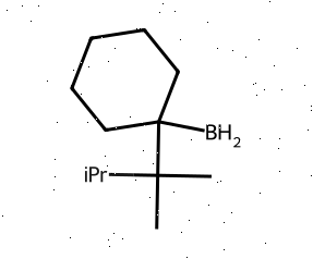 BC1(C(C)(C)C(C)C)CCCCC1